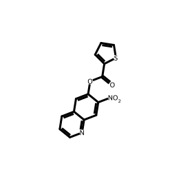 O=C(Oc1cc2cccnc2cc1[N+](=O)[O-])c1cccs1